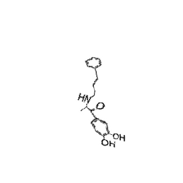 CC(NCCCc1ccccc1)C(=O)c1ccc(O)c(O)c1